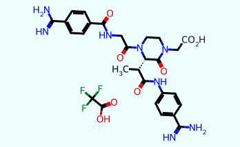 CC(C(=O)Nc1ccc(C(=N)N)cc1)[C@H]1C(=O)N(CC(=O)O)CCN1C(=O)CNC(=O)c1ccc(C(=N)N)cc1.O=C(O)C(F)(F)F